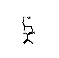 C=C(C)C1=NCC(COC)O1